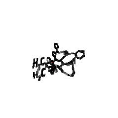 CC(C)(C)OC(=O)c1oc(=O)cc(-c2ccccc2)c1-c1c(I)cccc1[N+](=O)[O-]